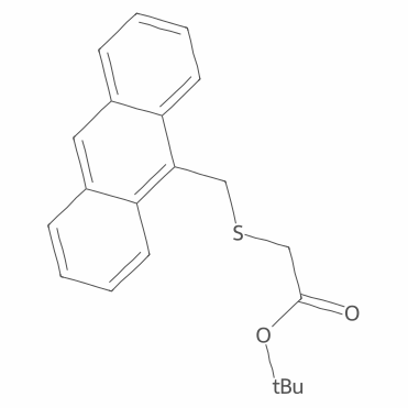 CC(C)(C)OC(=O)CSCc1c2ccccc2cc2ccccc12